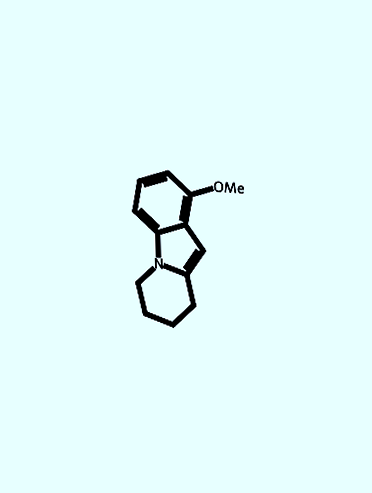 COc1cccc2c1cc1n2CCCC1